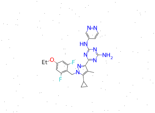 CCOc1cc(F)c(Cn2nc(-c3nc(N)nc(Nc4ccnnc4)n3)c(C)c2C2CC2)c(F)c1